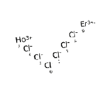 [Cl-].[Cl-].[Cl-].[Cl-].[Cl-].[Cl-].[Er+3].[Ho+3]